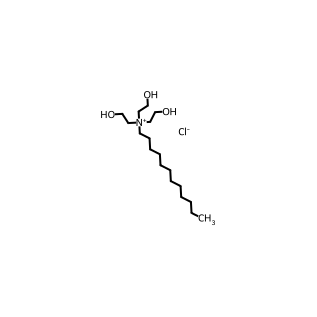 CCCCCCCCCCCC[N+](CCO)(CCO)CCO.[Cl-]